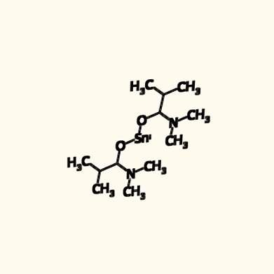 CC(C)C([O][Sn][O]C(C(C)C)N(C)C)N(C)C